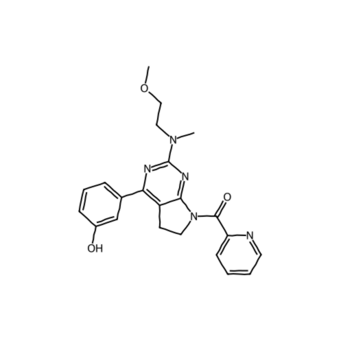 COCCN(C)c1nc(-c2cccc(O)c2)c2c(n1)N(C(=O)c1ccccn1)CC2